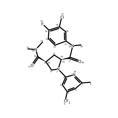 Cc1cc(C(F)(F)F)cc(N2C[C@@H](C(=O)N(C)C)C[C@H]2C(=O)N(C)c2ccc(F)c(Cl)c2)n1